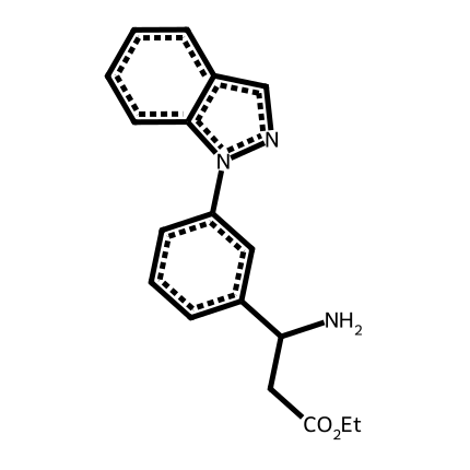 CCOC(=O)CC(N)c1cccc(-n2ncc3ccccc32)c1